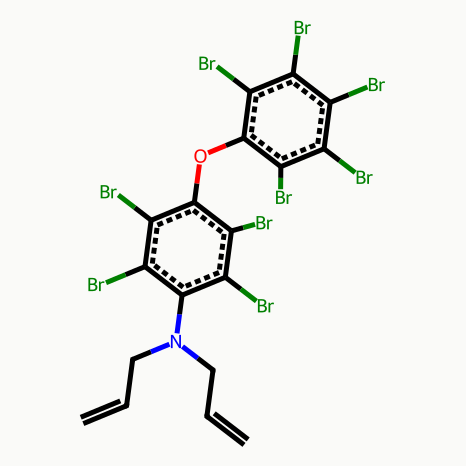 C=CCN(CC=C)c1c(Br)c(Br)c(Oc2c(Br)c(Br)c(Br)c(Br)c2Br)c(Br)c1Br